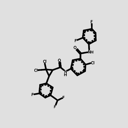 O=C(Nc1ccc(F)cc1F)c1cc(NC(=O)C2C(c3cc(F)cc(C(F)F)c3)C2(Cl)Cl)ccc1Cl